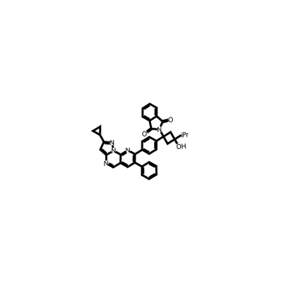 CC(C)C1(O)CC(c2ccc(-c3nc4c(cnc5cc(C6CC6)nn54)cc3-c3ccccc3)cc2)(N2C(=O)c3ccccc3C2=O)C1